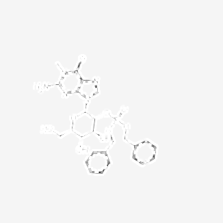 Cn1c(N)nc2c(ncn2[C@@H]2O[C@H](CO)[C@@H](O)[C@H](O)[C@H]2OP(=O)(OCc2ccccc2)OCc2ccccc2)c1=O